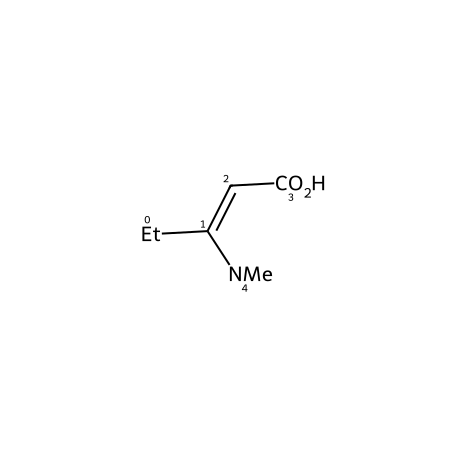 CCC(=CC(=O)O)NC